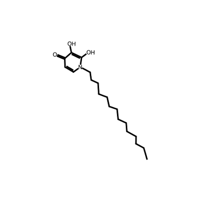 CCCCCCCCCCCCCCn1ccc(=O)c(O)c1O